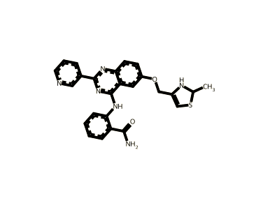 CC1NC(COc2ccc3nc(-c4cccnc4)nc(Nc4ccccc4C(N)=O)c3c2)=CS1